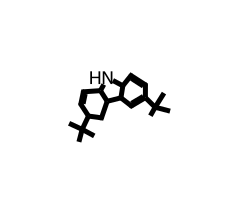 CC(C)(C)C1=CC2C(C=C1)NC1C=CC(C(C)(C)C)CC12